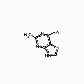 Cc1nc(C(C)C)c2nc[nH]c2n1